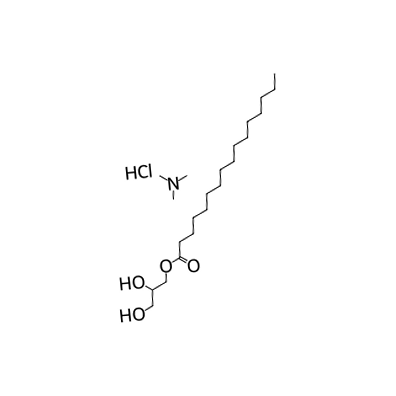 CCCCCCCCCCCCCCCC(=O)OCC(O)CO.CN(C)C.Cl